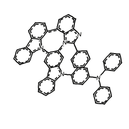 c1ccc(-c2nc3cccc4c5cccc6c7ccccc7n(c7cc8c9ccccc9n(-c9ccc(N(c%10ccccc%10)c%10ccccc%10)cc9)c8cc7n2c34)c56)cc1